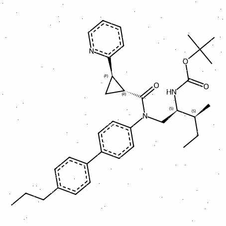 CCCc1ccc(-c2ccc(N(C[C@@H](NC(=O)OC(C)(C)C)[C@@H](C)CC)C(=O)[C@@H]3C[C@H]3c3ccccn3)cc2)cc1